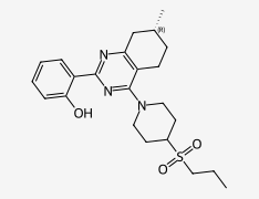 CCCS(=O)(=O)C1CCN(c2nc(-c3ccccc3O)nc3c2CC[C@@H](C)C3)CC1